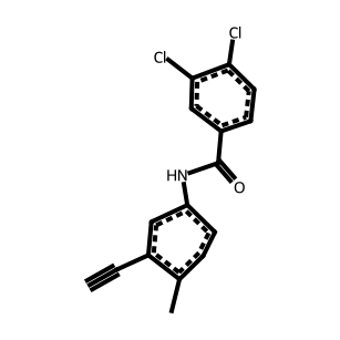 C#Cc1cc(NC(=O)c2ccc(Cl)c(Cl)c2)ccc1C